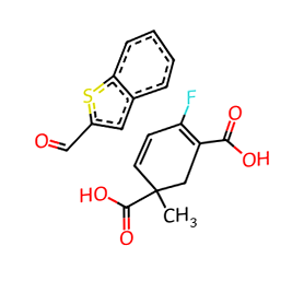 CC1(C(=O)O)C=CC(F)=C(C(=O)O)C1.O=Cc1cc2ccccc2s1